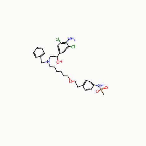 CS(=O)(=O)Nc1ccc(CCOCCCCCCN(Cc2ccccc2)CC(O)c2cc(Cl)c(N)c(Cl)c2)cc1